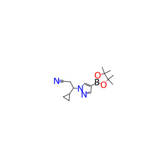 CC1(C)OB(c2cnn(C(CC#N)C3CC3)c2)OC1(C)C